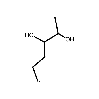 [CH2]CCC(O)C(C)O